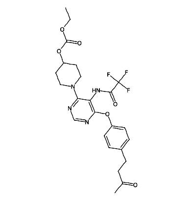 CCOC(=O)OC1CCN(c2ncnc(Oc3ccc(CCC(C)=O)cc3)c2NC(=O)C(F)(F)F)CC1